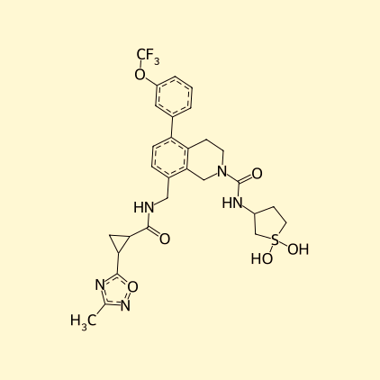 Cc1noc(C2CC2C(=O)NCc2ccc(-c3cccc(OC(F)(F)F)c3)c3c2CN(C(=O)NC2CCS(O)(O)C2)CC3)n1